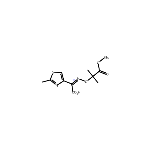 Cc1nc(/C(=N/OC(C)(C)C(=O)OC(C)(C)C)C(=O)O)cs1